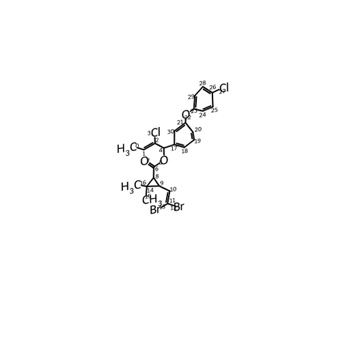 CC=C(Cl)C(OC(=O)C1C(C=C(Br)Br)C1(C)C)c1cccc(Oc2ccc(Cl)cc2)c1